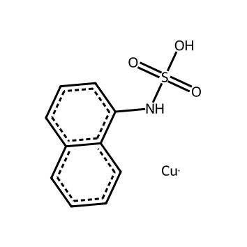 O=S(=O)(O)Nc1cccc2ccccc12.[Cu]